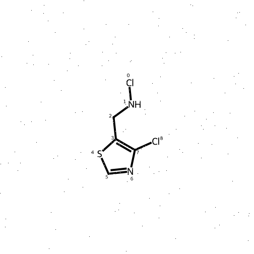 ClNCc1scnc1Cl